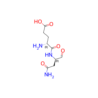 NC(=O)C[C@H](C=O)NC(=O)[C@H](N)CCC(=O)O